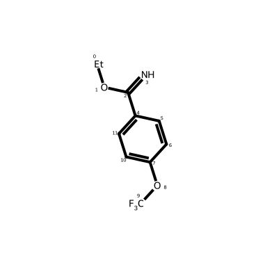 CCOC(=N)c1ccc(OC(F)(F)F)cc1